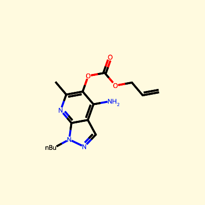 C=CCOC(=O)Oc1c(C)nc2c(cnn2CCCC)c1N